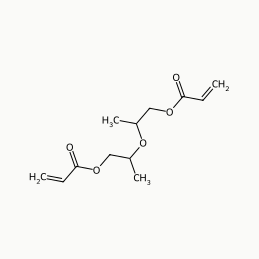 C=CC(=O)OCC(C)OC(C)COC(=O)C=C